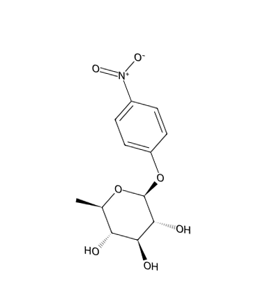 C[C@H]1O[C@@H](Oc2ccc([N+](=O)[O-])cc2)[C@H](O)[C@@H](O)[C@@H]1O